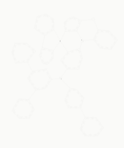 c1ccc(-c2ccc(N(c3cc(-c4ccccc4)cc(-c4ccccc4)c3)c3ccc4c(c3)C3(c5ccccc5-c5ccccc53)c3cccc5c3N4c3ccccc3O5)cc2)cc1